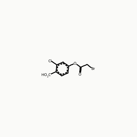 O=C(CBr)Oc1ccc(C(=O)O)c(Cl)c1